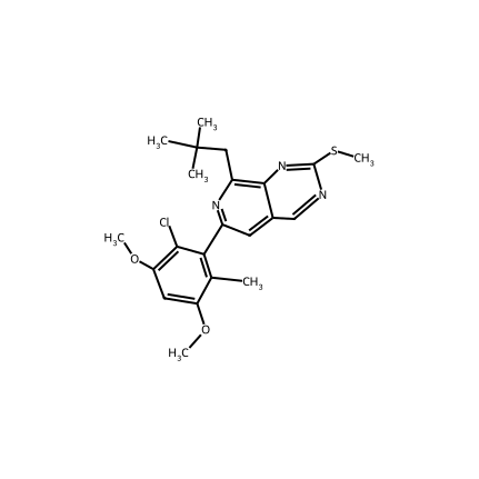 COc1cc(OC)c(Cl)c(-c2cc3cnc(SC)nc3c(CC(C)(C)C)n2)c1C